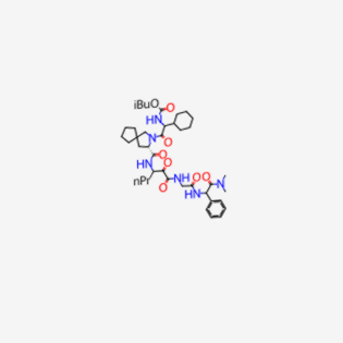 CCCC(NC(=O)[C@@H]1CC2(CCCC2)CN1C(=O)[C@@H](NC(=O)OCC(C)C)C1CCCCC1)C(=O)C(=O)NCC(=O)NC(C(=O)N(C)C)c1ccccc1